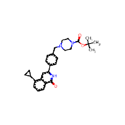 CC(C)(C)OC(=O)N1CCN(Cc2ccc(-c3cc4c(C5CC5)cccc4c(=O)[nH]3)cc2)CC1